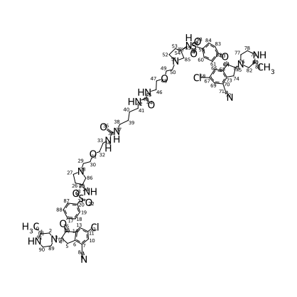 C[C@@H]1CN([C@H]2Cc3c(C#N)cc(Cl)cc3[C@@H]2Oc2ccc(S(=O)(=O)N[C@@H]3CCN(CCOCCNC(=O)NCCCCNC(=O)NCCOCCN4CC[C@@H](NS(=O)(=O)c5ccc(O[C@H]6c7cc(Cl)cc(C#N)c7C[C@@H]6N6CCN[C@H](C)C6)cc5)C4)C3)cc2)CCN1